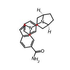 NC(=O)c1ccc2ccn(C3C[C@H]4CC[C@@H](C3)N4c3ccccc3)c2c1